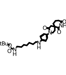 CC(C)(C)OC(=O)NCCCCCCCNc1ccc(N2CCC3(CCCC(=O)NC3=O)CC2=O)cc1